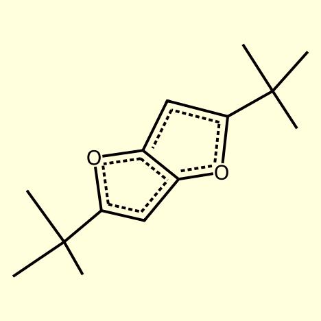 CC(C)(C)c1cc2oc(C(C)(C)C)cc2o1